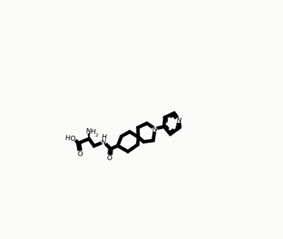 N[C@@H](CNC(=O)C1CCC2(CC1)CCN(c1ccncc1)CC2)C(=O)O